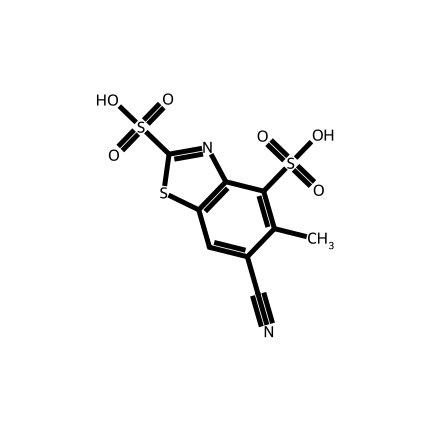 Cc1c(C#N)cc2sc(S(=O)(=O)O)nc2c1S(=O)(=O)O